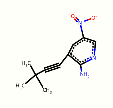 CC(C)(C)C#Cc1cc([N+](=O)[O-])cnc1N